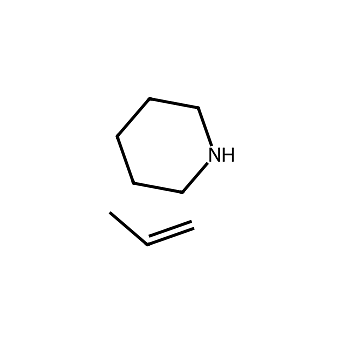 C1CCNCC1.C=CC